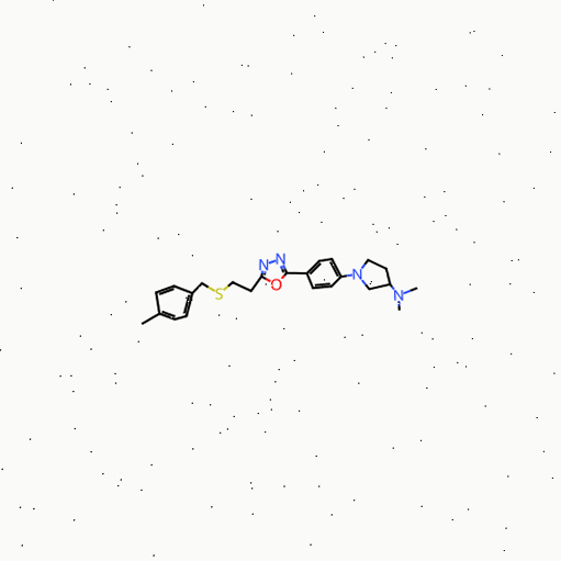 Cc1ccc(CSCCc2nnc(-c3ccc(N4CCC(N(C)C)C4)cc3)o2)cc1